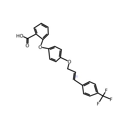 O=C(O)c1ccccc1Oc1ccc(OC/C=C/c2ccc(C(F)(F)F)cc2)cc1